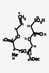 C=CCOC(=O)CS(=O)(=O)O.CCCCCCCCCCCCOC(=O)CS(=O)(=O)O.[Na]